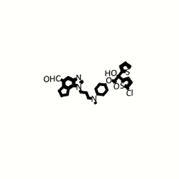 CN(CCCn1cnc2cc(C=O)c3c(c21)CCC3)[C@H]1CC[C@H](OC(=O)[C@](O)(c2cccs2)c2ccc(Cl)s2)CC1